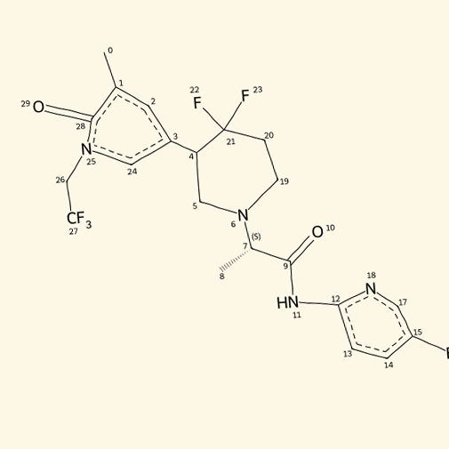 Cc1cc(C2CN([C@@H](C)C(=O)Nc3ccc(F)cn3)CCC2(F)F)cn(CC(F)(F)F)c1=O